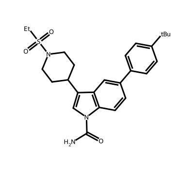 CCS(=O)(=O)N1CCC(c2cn(C(N)=O)c3ccc(-c4ccc(C(C)(C)C)cc4)cc23)CC1